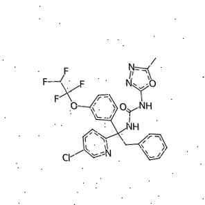 Cc1nnc(NC(=O)NC(Cc2ccccc2)(c2cccc(OC(F)(F)C(F)F)c2)c2ccc(Cl)cn2)o1